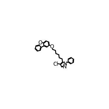 Clc1cnn(-c2ccccc2)c1CCCCCCOc1ccc2oc3ccccc3c2c1